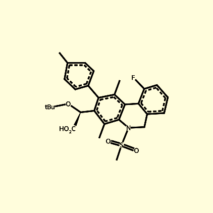 Cc1ccc(-c2c(C)c3c(c(C)c2[C@H](OC(C)(C)C)C(=O)O)N(S(C)(=O)=O)Cc2cccc(F)c2-3)cc1